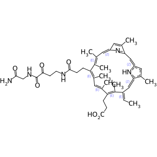 C/C=C1\C=c2/[nH]/c(cc2C)=C\C2=NC(=C\C(C)=C(C)\C(CCC(=O)NCCC(=O)C(=O)NCC(N)=O)=C(C)\C=C(C)\C(CCC(=O)O)=C\1C)/C=C2C